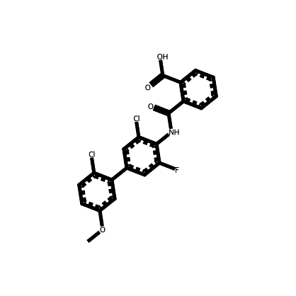 COc1ccc(Cl)c(-c2cc(F)c(NC(=O)c3ccccc3C(=O)O)c(Cl)c2)c1